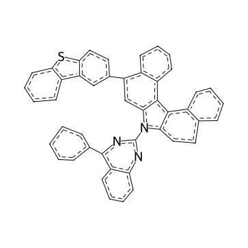 c1ccc(-c2nc(-n3c4ccc5ccccc5c4c4c5ccccc5c(-c5ccc6sc7ccccc7c6c5)cc43)nc3ccccc23)cc1